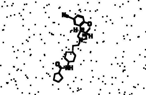 N#Cc1ccc2c(c1)[C@@H]1CN(CCC3CCC(NC(=O)C4CCCC4)CC3)C[C@H]1CO2